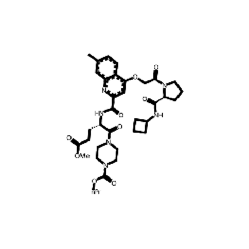 CCCOC(=O)N1CCN(C(=O)[C@H](CCC(=O)OC)NC(=O)c2cc(OCC(=O)N3CCC[C@H]3C(=O)NC3CCC3)c3ccc(C)cc3n2)CC1